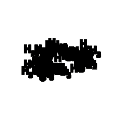 CC[C@H](C)[C@H](NC(=O)[C@H](Cc1ccccc1)NC(=O)[C@@H](N)CC(C)C)C(=O)N[C@@H](CCC(=O)O)C(=O)N[C@@H](Cc1c[nH]c2ccccc12)C(=O)N[C@@H](CCCCN)C(=O)N[C@@H](CC(N)=O)C(=O)NCC(=O)NCC(=O)N1CCC[C@H]1C(=O)N[C@@H](CO)C(=O)N[C@@H](CO)C(=O)NCC(=O)N[C@@H](C)C(=O)N1CCC[C@H]1C(=O)N1CCC[C@H]1C(=O)N[C@@H](CO)C(N)=O